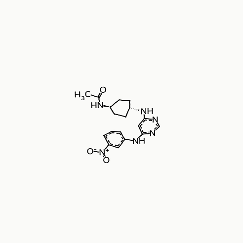 CC(=O)N[C@H]1CC[C@H](Nc2cc(Nc3cccc([N+](=O)[O-])c3)ncn2)CC1